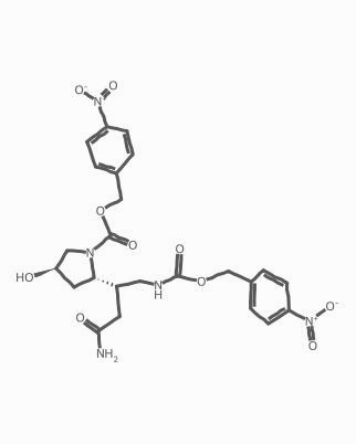 NC(=O)CC(CNC(=O)OCc1ccc([N+](=O)[O-])cc1)[C@@H]1C[C@@H](O)CN1C(=O)OCc1ccc([N+](=O)[O-])cc1